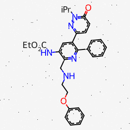 CCOC(=O)Nc1cc(-c2ccc(=O)n(C(C)C)n2)c(-c2ccccc2)nc1CNCCOc1ccccc1